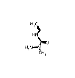 C=CNC(=O)N(C)N